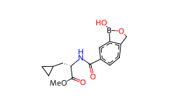 COC(=O)[C@H](CC1CC1)NC(=O)c1ccc2c(c1)B(O)OC2